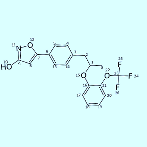 CC(Cc1ccc(-c2cc(O)no2)cc1)Oc1ccccc1OC(F)(F)F